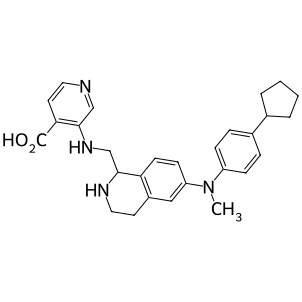 CN(c1ccc(C2CCCC2)cc1)c1ccc2c(c1)CCNC2CNc1cnccc1C(=O)O